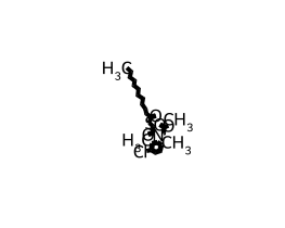 CCCCCCCCCCCC(=O)SCC(=O)N(CC(=O)OC)c1c(C)ccc(Cl)c1C